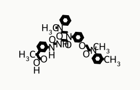 Cc1cccc(N(C)C(=O)COc2cccc(N(CC(=O)N(C)c3ccccc3)C(=O)CNC(=O)Nc3cccc(C(C)C(=O)O)c3)c2)c1